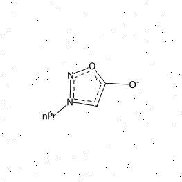 CCC[n+]1cc([O-])on1